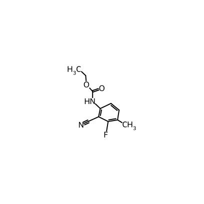 CCOC(=O)Nc1ccc(C)c(F)c1C#N